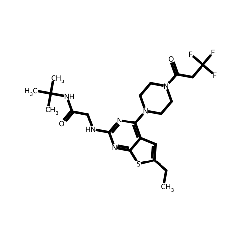 CCc1cc2c(N3CCN(C(=O)CC(F)(F)F)CC3)nc(NCC(=O)NC(C)(C)C)nc2s1